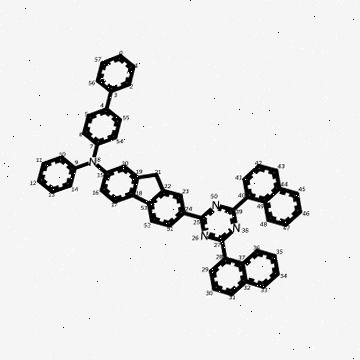 c1ccc(-c2ccc(N(c3ccccc3)c3ccc4c(c3)Cc3cc(-c5nc(-c6cccc7ccccc67)nc(-c6cccc7ccccc67)n5)ccc3-4)cc2)cc1